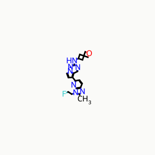 Cc1nc2ccc(-c3ccn4nc(NC5CC6(COC6)C5)ncc34)nc2n1CCF